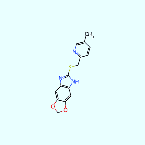 Cc1ccc(CSc2nc3cc4c(cc3[nH]2)OCO4)nc1